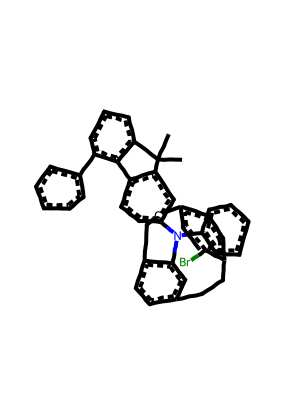 CC1(C)c2cc(N(c3ccccc3)c3cc4ccc3CCc3ccc(c(Br)c3)CC4)ccc2-c2c(-c3ccccc3)cccc21